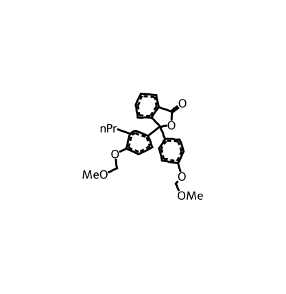 CCCc1cc(C2(c3ccc(OCOC)cc3)OC(=O)c3ccccc32)ccc1OCOC